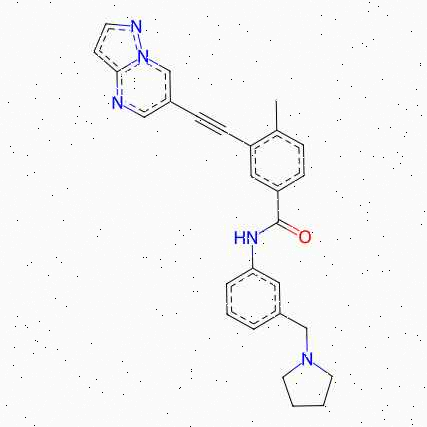 Cc1ccc(C(=O)Nc2cccc(CN3CCCC3)c2)cc1C#Cc1cnc2ccnn2c1